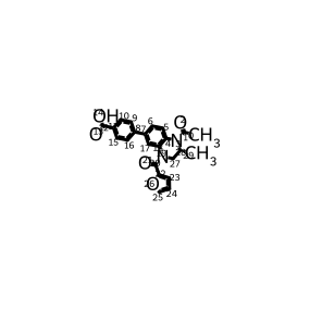 CC(=O)N1c2ccc(-c3ccc(C(=O)O)cc3)cc2N(C(=O)c2ccco2)C[C@@H]1C